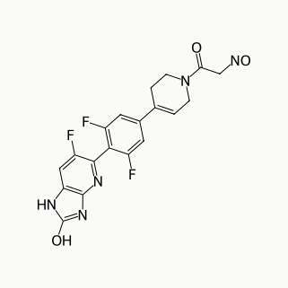 O=NCC(=O)N1CC=C(c2cc(F)c(-c3nc4nc(O)[nH]c4cc3F)c(F)c2)CC1